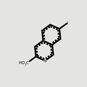 O=C(O)c1cc2ccc(I)cc2cn1